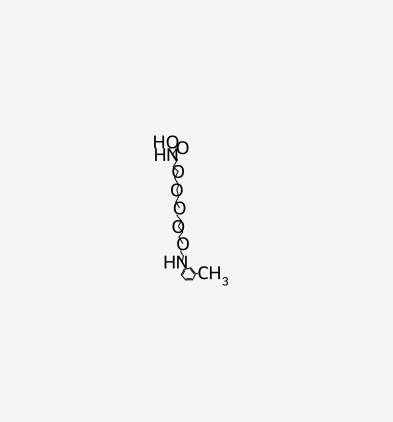 Cc1cccc(NCCOCCOCCOCCOCCOCCNC(=O)O)c1